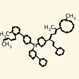 C/C=C\C=C/c1c(C)cccc1-c1ccc(N(c2ccc(C(/C=C/c3ccccc3)=C/C=C(\C)c3ccccccc(C)cc3)cc2)c2cccc(-c3ccccc3)c2)cc1